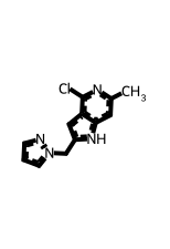 Cc1cc2[nH]c(Cn3cccn3)cc2c(Cl)n1